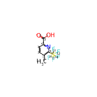 Cc1ccc(C(=O)O)nc1S(F)(F)(F)(F)F